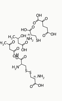 CC(=O)CC(=O)O.CC(O)CC(=O)O.NC(CSSC[C@H](N)C(=O)O)C(=O)O.N[C@@H](CS)C(=O)O.O=C(O)CCC(=O)C(=O)O